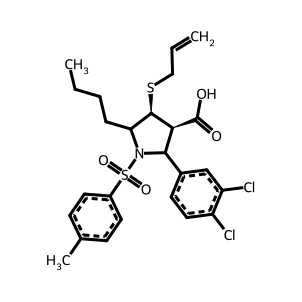 C=CCS[C@@H]1C(CCCC)N(S(=O)(=O)c2ccc(C)cc2)C(c2ccc(Cl)c(Cl)c2)[C@@H]1C(=O)O